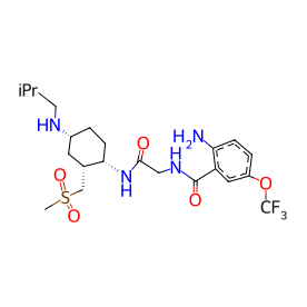 CC(C)CN[C@@H]1CC[C@H](NC(=O)CNC(=O)c2cc(OC(F)(F)F)ccc2N)[C@H](CS(C)(=O)=O)C1